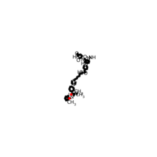 Cc1cccc(I)c1CN1CC([C@H]2CCCC(N3CCN(CCCCCCNC(=O)C4CCN(c5ccc(N=N)c(C(=O)NC6CCC(=O)NC6=O)c5)CC4)CC3)CC2)[C@@H](N(C)C)C1